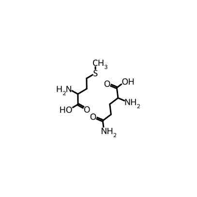 CSCCC(N)C(=O)O.NC(=O)CCC(N)C(=O)O